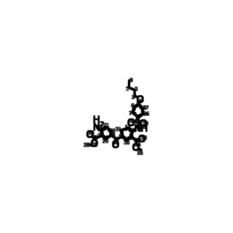 CCCCOc1ccc(S(=O)(=O)Nc2ccc(C(=O)c3ccc(N)c(C(=O)OC)c3)cc2C(=O)OC)cc1